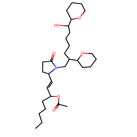 CCCCCC(C=CC1CCC(=O)N1CC(CCCCC(O)C1CCCCO1)C1CCCCO1)OC(C)=O